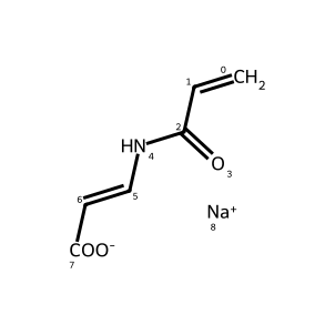 C=CC(=O)NC=CC(=O)[O-].[Na+]